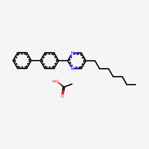 CC(=O)O.CCCCCCCc1cnc(-c2ccc(-c3ccccc3)cc2)nc1